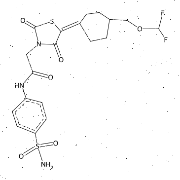 NS(=O)(=O)c1ccc(NC(=O)CN2C(=O)SC(=C3CCC(COC(F)F)CC3)C2=O)cc1